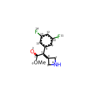 COC(=O)C(=C1CNC1)c1cc(F)cc(F)c1